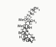 COc1cc(C2(OC)CCC(N3CCN(C)CC3)CC2)c(C)cc1Nc1ncc(Br)c(Nc2ccc3nccnc3c2P(C)(C)=O)n1